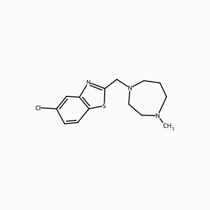 CN1CCCN(Cc2nc3cc(Cl)ccc3s2)CC1